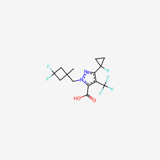 CC1(Cn2nc(C3(F)CC3)c(C(F)(F)F)c2C(=O)O)CC(F)(F)C1